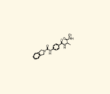 CCNC(=O)C(C)NC(=O)c1ccc(NC(=O)N2Cc3ccccc3C2)cc1